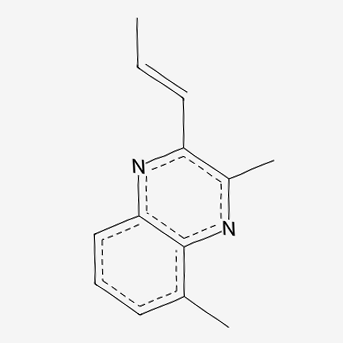 C/C=C/c1nc2cccc(C)c2nc1C